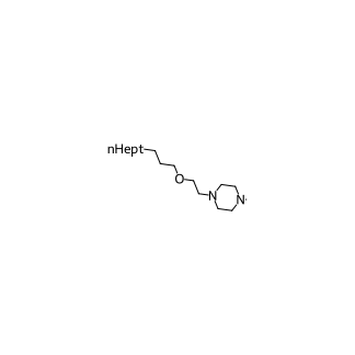 CCCCCCCCCCOCCN1CC[N]CC1